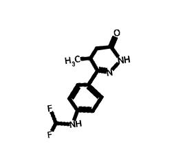 CC1CC(=O)NN=C1c1ccc(NC(F)F)cc1